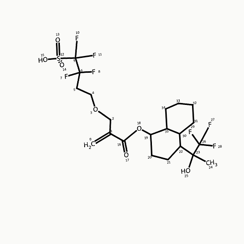 C=C(COCCC(F)(F)C(F)(F)S(=O)(=O)O)C(=O)OC1CCC(C(C)(O)C(F)(F)F)C2CCCCC12